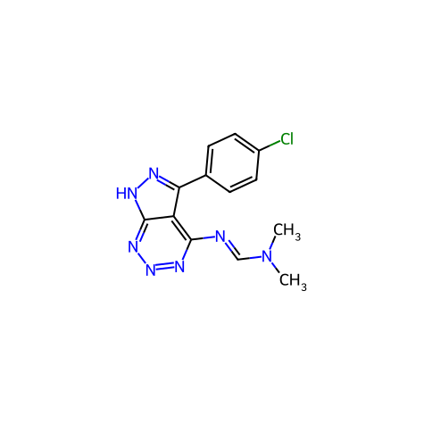 CN(C)/C=N/c1nnnc2[nH]nc(-c3ccc(Cl)cc3)c12